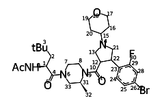 CC(=O)N[C@@H](CC(C)(C)C)C(=O)N1CCN(C(=O)C2CN(C3CCOCC3)CC2c2ccc(Br)cc2F)[C@@H](C)C1